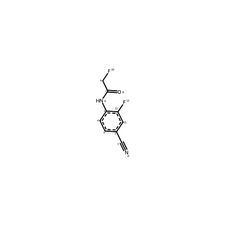 N#Cc1ccc(NC(=O)CF)c(F)c1